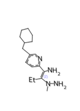 CC/C(=C(/N)c1ccc(CC2CCCCC2)cn1)N(C)N